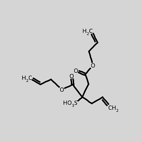 C=CCOC(=O)CC(CC=C)(C(=O)OCC=C)S(=O)(=O)O